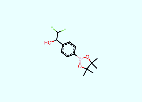 CC1(C)OB(c2ccc([C@@H](O)C(F)F)cc2)OC1(C)C